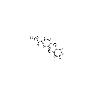 CNc1ccc(Oc2ccccc2)c(C)c1